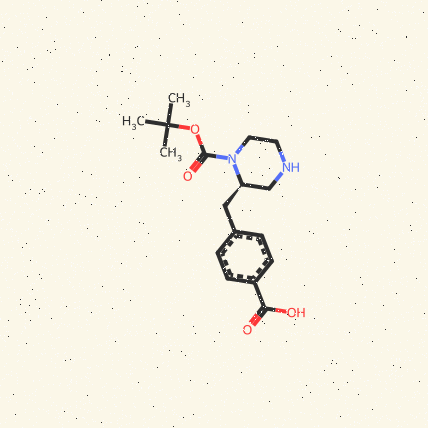 CC(C)(C)OC(=O)N1CCNC[C@H]1Cc1ccc(C(=O)O)cc1